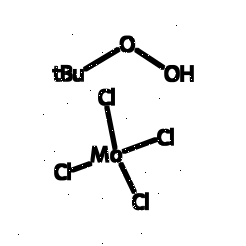 CC(C)(C)OO.[Cl][Mo]([Cl])([Cl])[Cl]